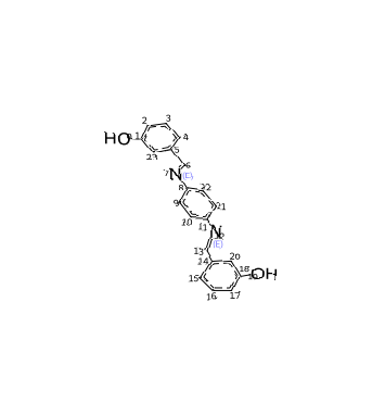 Oc1cccc(/C=N/c2ccc(/N=C/c3cccc(O)c3)cc2)c1